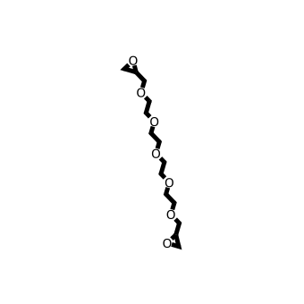 C(COCCOCC1CO1)OCCOCCOCC1CO1